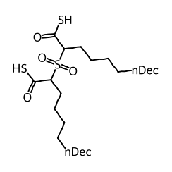 CCCCCCCCCCCCCCC(C(=O)S)S(=O)(=O)C(CCCCCCCCCCCCCC)C(=O)S